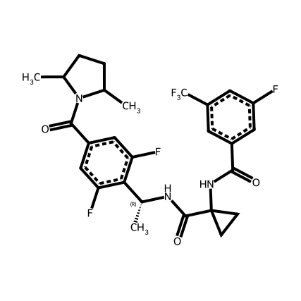 CC1CCC(C)N1C(=O)c1cc(F)c([C@@H](C)NC(=O)C2(NC(=O)c3cc(F)cc(C(F)(F)F)c3)CC2)c(F)c1